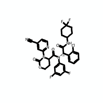 N#Cc1ccnc(N2C(=O)OCCC2C(=O)N(c2cc(F)cc(F)c2)[C@H](C(=O)NC2CCC(F)(F)CC2)c2ccccc2Cl)c1